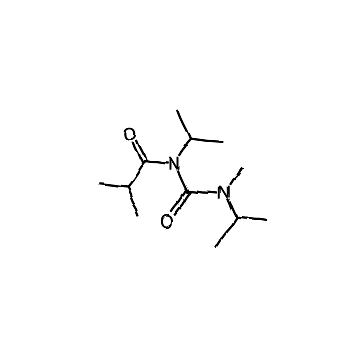 CC(C)C(=O)N(C(=O)N(C)C(C)C)C(C)C